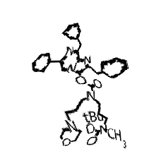 CN(CCCN(CCCN1CCOCC1)C(=O)Oc1c(Cc2ccccc2)nc2c(Cc3ccccc3)nc(-c3ccccc3)cn12)C(=O)OC(C)(C)C